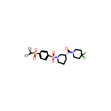 CCC(CC)S(=O)(=O)c1ccc(S(=O)(=O)N2CCC[C@@H](C(=O)N3CCC(F)(F)CC3)C2)cc1